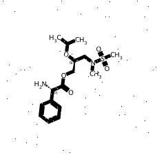 CC(C)O[C@H](COC(=O)[C@@H](N)c1ccccc1)CN(C)S(C)(=O)=O